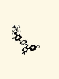 CCS(=O)(=O)NC(=O)c1ccc(N2CCN(CC3=C(c4ccc(Cl)cc4)CC(C)(C)CC3)CC2)cc1C